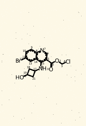 O=C(OCCl)c1cnc2ccc(Br)cc2c1NC1CC(O)C1